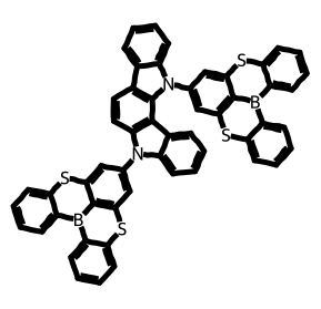 c1ccc2c(c1)Sc1cc(-n3c4ccccc4c4c3ccc3c5ccccc5n(-c5cc6c7c(c5)Sc5ccccc5B7c5ccccc5S6)c34)cc3c1B2c1ccccc1S3